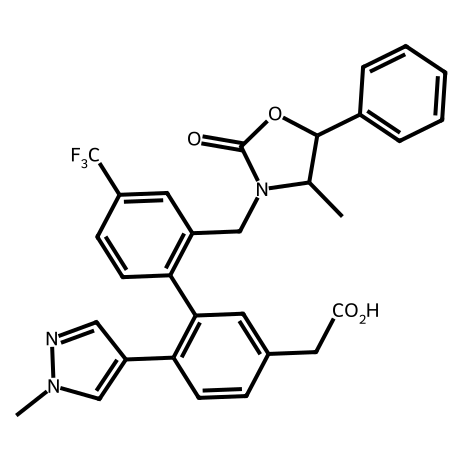 CC1C(c2ccccc2)OC(=O)N1Cc1cc(C(F)(F)F)ccc1-c1cc(CC(=O)O)ccc1-c1cnn(C)c1